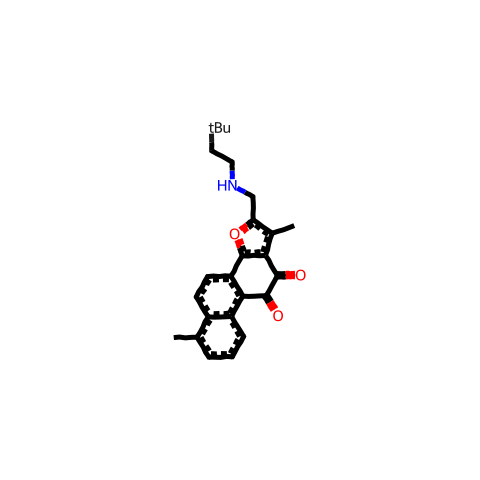 Cc1c(CNCCC(C)(C)C)oc2c1C(=O)C(=O)c1c-2ccc2c(C)cccc12